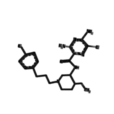 CCC1CCN(CCCc2ccc(Cl)cc2)CC1NC(=O)c1nc(Cl)c(N)nc1N